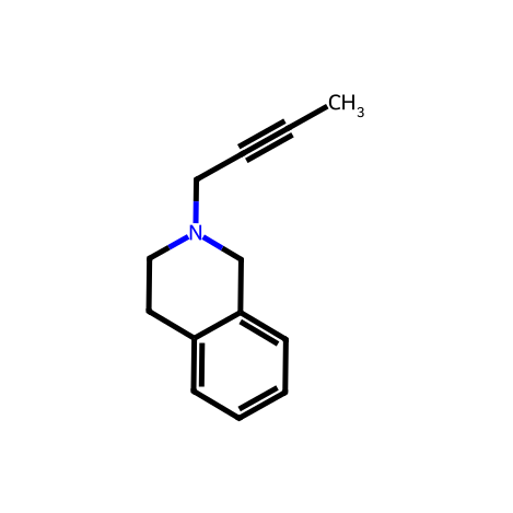 CC#CCN1CCc2ccccc2C1